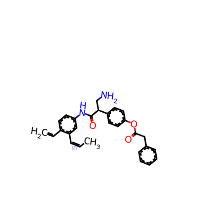 C=Cc1ccc(NC(=O)C(CN)c2ccc(OC(=O)Cc3ccccc3)cc2)cc1/C=C\C